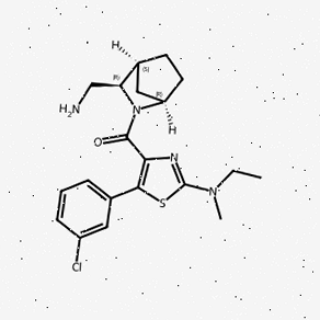 CCN(C)c1nc(C(=O)N2[C@@H]3CC[C@@H](C3)[C@@H]2CN)c(-c2cccc(Cl)c2)s1